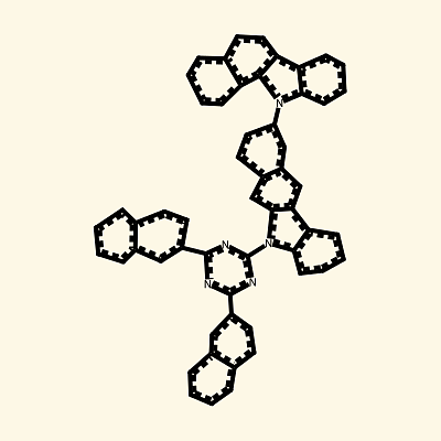 c1ccc2cc(-c3nc(-c4ccc5ccccc5c4)nc(-n4c5ccccc5c5cc6cc(-n7c8ccccc8c8ccc9ccccc9c87)ccc6cc54)n3)ccc2c1